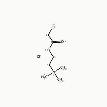 C[N+](C)(C)CCOC(=O)CCl.[Cl-]